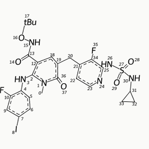 Cn1c(Nc2ccc(I)cc2F)c(C(=O)NOC(C)(C)C)cc(Cc2ccnc(NS(=O)(=O)NC3CC3)c2F)c1=O